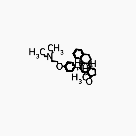 CCN(CC)CCOc1ccc([C@H]2C[C@]3(C)C(=O)CC[C@H]3[C@@H]3CCc4ccccc4[C@H]32)cc1